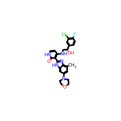 Cc1cc(N2CCOCC2)cc2[nH]c(-c3c(NC[C@@H](O)c4ccc(F)c(Cl)c4)cc[nH]c3=O)nc12